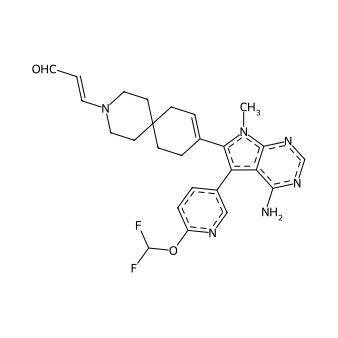 Cn1c(C2=CCC3(CC2)CCN(C=CC=O)CC3)c(-c2ccc(OC(F)F)nc2)c2c(N)ncnc21